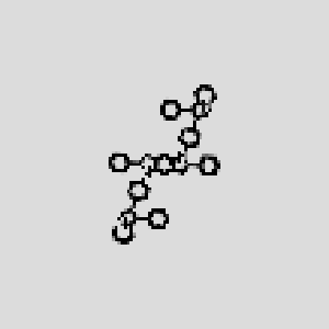 c1ccc(-c2c(-c3ccc(N4c5cc6cc(-c7ccccc7)n(-c7ccc(-c8cn9ccccc9c8-c8ccccc8)cc7)c6cc5CC4c4ccccc4)cc3)cn3ccccc23)cc1